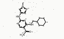 Cn1cc(Nc2ncc(C(N)=O)c(NCC3CCCCC3)n2)cn1